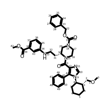 COC[C@@H]1CCCC[C@H]1n1cnc(C(=O)N2CCN(C(=O)OCc3ccccc3)C[C@H]2CCNc2cccc(C(=O)OC)c2)c1-c1ccccc1